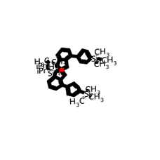 C[CH](C)[Hf]([CH3])([CH3])(=[SiH2])([CH](C)C)([CH]1C=Cc2c(-c3ccc([Si](C)(C)C)cc3)cccc21)[CH]1C=Cc2c(-c3ccc([Si](C)(C)C)cc3)cccc21